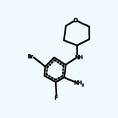 Nc1c(F)cc(Br)cc1NC1CCOCC1